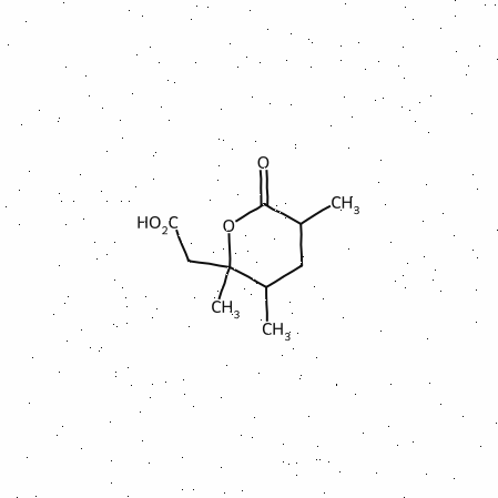 CC1CC(C)C(C)(CC(=O)O)OC1=O